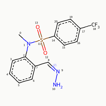 CN(c1ccccc1/C=N\N)S(=O)(=O)c1ccc(C(F)(F)F)cc1